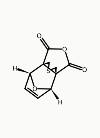 O=C1OC(=O)[C@@]23CSC[C@@]12[C@H]1C=C[C@@H]3O1